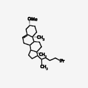 CO[C@@H]1CC[C@]2(C)C(=CCC3C4CCC(C(C)CCCC(C)C)[C@]4(C)CCC32)C1